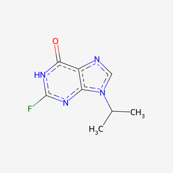 CC(C)n1cnc2c(=O)[nH]c(F)nc21